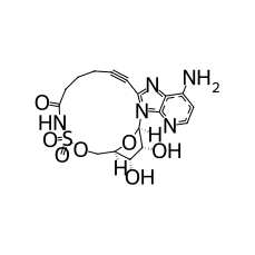 Nc1ccnc2c1nc1n2[C@@H]2O[C@H](COS(=O)(=O)NC(=O)CCCC#C1)[C@@H](O)[C@H]2O